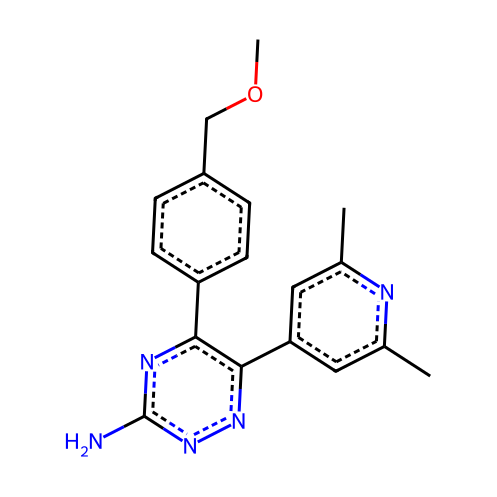 COCc1ccc(-c2nc(N)nnc2-c2cc(C)nc(C)c2)cc1